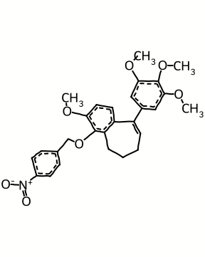 COc1cc(C2=CCCCc3c2ccc(OC)c3OCc2ccc([N+](=O)[O-])cc2)cc(OC)c1OC